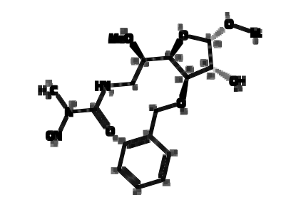 CCO[C@H]1O[C@H]([C@@H](CNC(=O)N(C)N=O)OC)[C@H](OCc2ccccc2)[C@H]1O